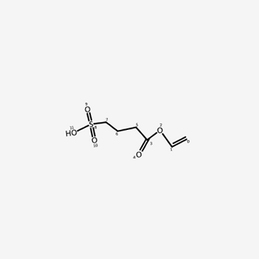 C=COC(=O)CCCS(=O)(=O)O